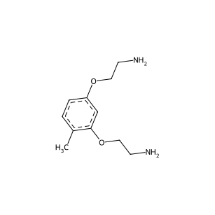 Cc1ccc(OCCN)cc1OCCN